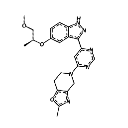 COC[C@H](C)Oc1ccc2[nH]nc(-c3cc(N4CCc5oc(C)nc5C4)ncn3)c2c1